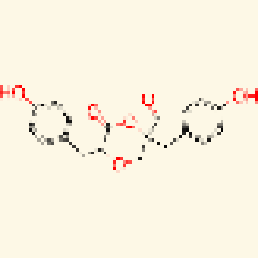 O=CC1(Cc2ccc(O)cc2)COC(Cc2ccc(O)cc2)C(=O)O1